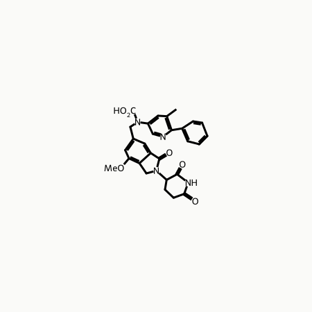 COc1cc(CN(C(=O)O)c2cnc(-c3ccccc3)c(C)c2)cc2c1CN(C1CCC(=O)NC1=O)C2=O